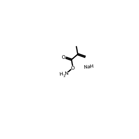 C=C(C)C(=O)ON.[NaH]